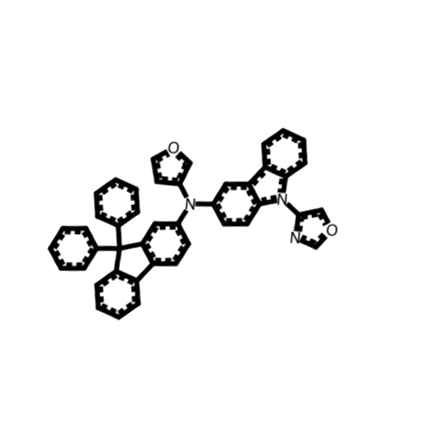 c1ccc(C2(c3ccccc3)c3ccccc3-c3ccc(N(c4ccoc4)c4ccc5c(c4)c4ccccc4n5-c4cocn4)cc32)cc1